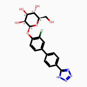 OC[C@H]1O[C@@H](Oc2ccc(-c3ccc(-c4nnn[nH]4)cc3)cc2Cl)[C@@H](O)[C@@H](O)[C@@H]1O